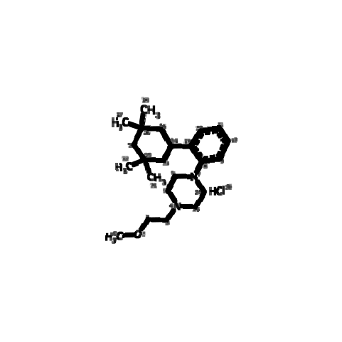 COCCN1CCN(c2ccccc2C2CC(C)(C)CC(C)(C)C2)CC1.Cl